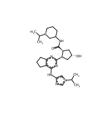 CC(C)N1CCCC(NC(=O)[C@H]2C[C@H](O)CN2c2nc3c(c(Nc4cn(C(C)C)cn4)n2)CCC3)C1